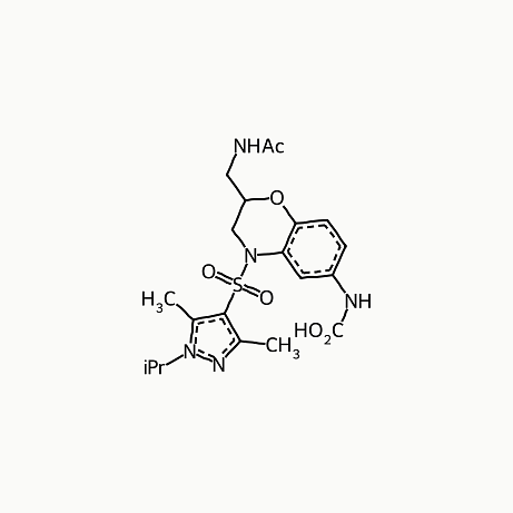 CC(=O)NCC1CN(S(=O)(=O)c2c(C)nn(C(C)C)c2C)c2cc(NC(=O)O)ccc2O1